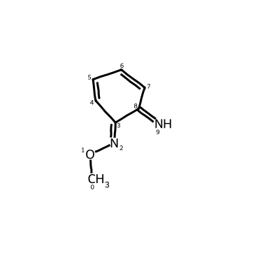 CO/N=C1\C=CC=CC1=N